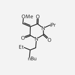 CCCCC(CC)CN1C(=O)/C(=C/OC)C(=O)N(C(C)C)C1=O